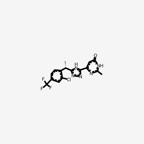 Cc1nc(-c2nnc([C@@H](C)c3ccc(C(F)(F)F)cc3Cl)[nH]2)cc(=O)[nH]1